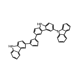 c1cc(-c2ccc3[pH]c4ccccc4c3c2)cc(-c2ccc3[pH]c4ccc(-n5c6ccccc6c6ccccc65)cc4c3c2)c1